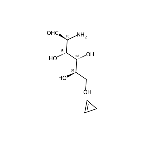 C1=CC1.N[C@H](C=O)[C@@H](O)[C@H](O)[C@H](O)CO